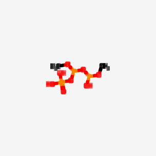 COP(O)OP(OC)OP(=O)(O)O